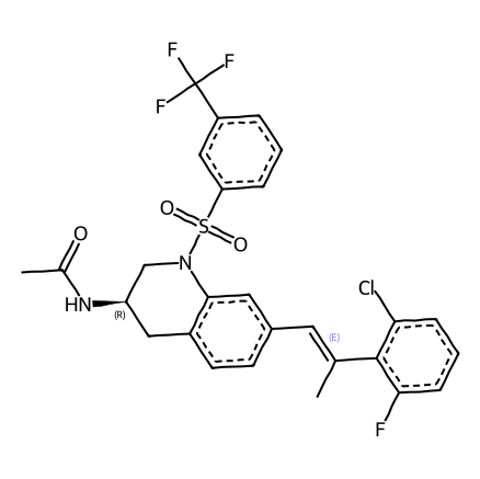 CC(=O)N[C@@H]1Cc2ccc(/C=C(\C)c3c(F)cccc3Cl)cc2N(S(=O)(=O)c2cccc(C(F)(F)F)c2)C1